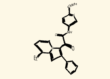 CCc1cccn2c(C(=O)C(=O)Nc3ccc(OC)nc3)c(-c3ccccc3)cc12